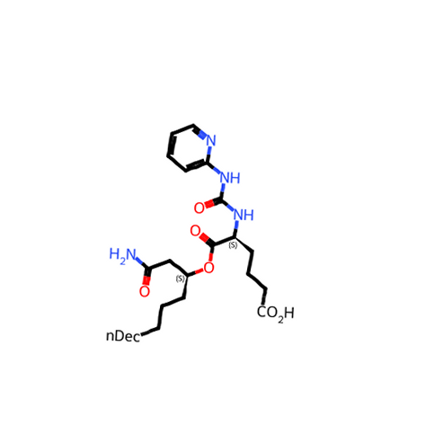 CCCCCCCCCCCCC[C@@H](CC(N)=O)OC(=O)[C@H](CCCC(=O)O)NC(=O)Nc1ccccn1